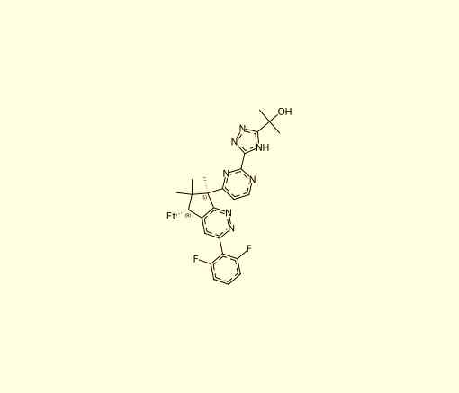 CC[C@H]1c2cc(-c3c(F)cccc3F)nnc2[C@](C)(c2ccnc(-c3nnc(C(C)(C)O)[nH]3)n2)C1(C)C